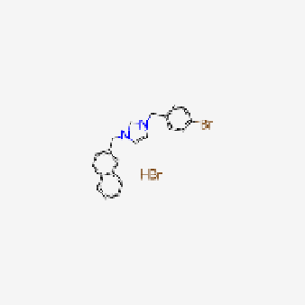 Br.Brc1ccc(CN2C=CN(Cc3ccc4ccccc4c3)C2)cc1